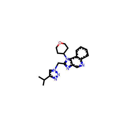 CC(C)c1cn(Cc2nc3cnc4ccccc4c3n2C2CCOCC2)nn1